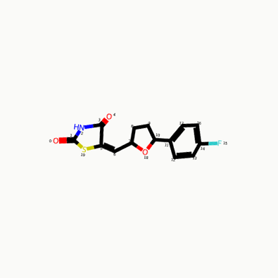 O=C1NC(=O)/C(=C\C2CCC(c3ccc(F)cc3)O2)S1